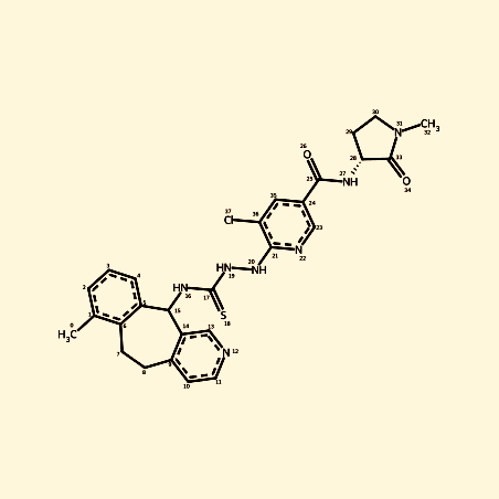 Cc1cccc2c1CCc1ccncc1C2NC(=S)NNc1ncc(C(=O)N[C@@H]2CCN(C)C2=O)cc1Cl